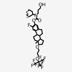 CC12CCC3c4cc(F)c(OC(=O)N(CCCO)C5CCSSC5)cc4CCC3C1CCC2OCCCOC(C(F)(F)F)(C(F)(F)F)C(F)(F)F